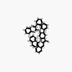 C=c1cccc/c1=C/c1c(C)c2cc3c4ccccc4n(-c4nc5ccccc5nc4-c4ccccc4)c3cc2n1-c1cccc2ccccc12